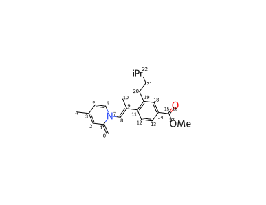 C=C1C=C(C)C=CN1/C=C(\C)c1ccc(C(=O)OC)cc1CCC(C)C